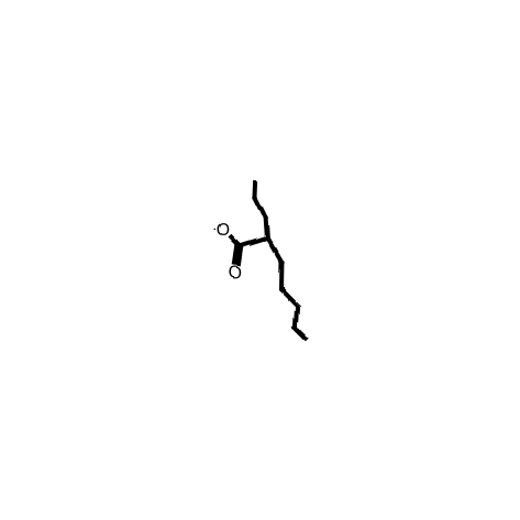 CCCCCC(CCC)C([O])=O